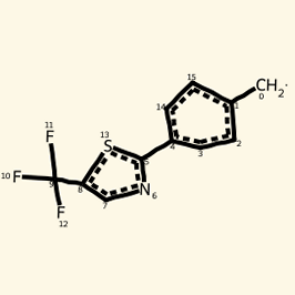 [CH2]c1ccc(-c2ncc(C(F)(F)F)s2)cc1